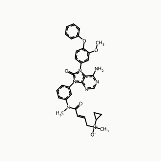 COc1cc(-n2c(=O)n(-c3cccc(N(C)C(=O)/C=C/C[N+](C)([O-])C4CC4)c3)c3ncnc(N)c32)ccc1Oc1ccccc1